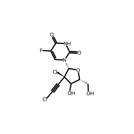 O=c1[nH]c(=O)n([C@@H]2O[C@H](CO)C(O)[C@]2(Cl)C#CCl)cc1F